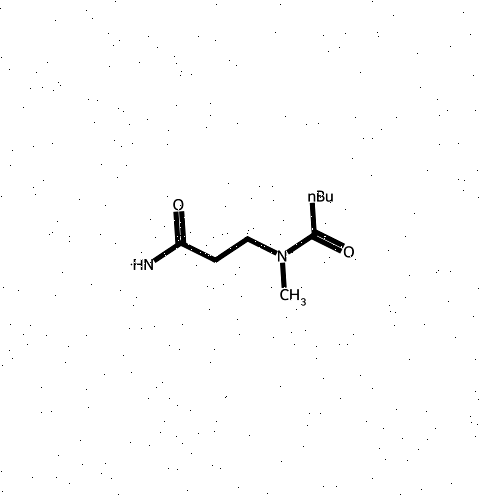 CCCCC(=O)N(C)CCC([NH])=O